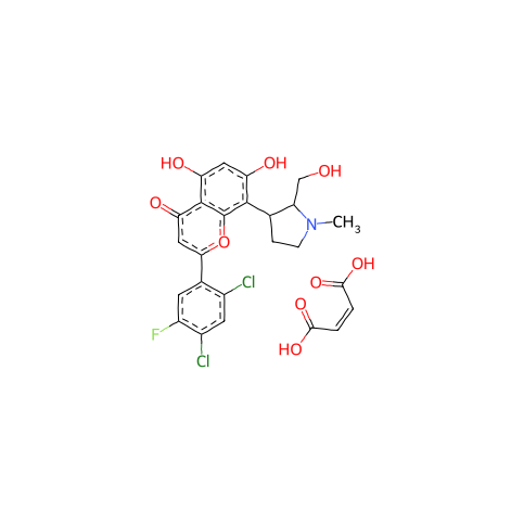 CN1CCC(c2c(O)cc(O)c3c(=O)cc(-c4cc(F)c(Cl)cc4Cl)oc23)C1CO.O=C(O)/C=C\C(=O)O